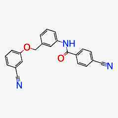 N#Cc1ccc(C(=O)Nc2cccc(COc3cccc(C#N)c3)c2)cc1